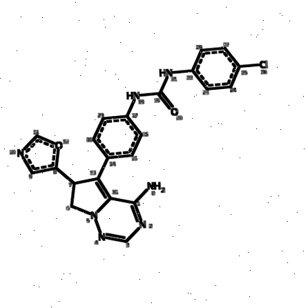 NC1=NC=NN2CC(c3cnco3)C(c3ccc(NC(=O)Nc4ccc(Cl)cc4)cc3)=C12